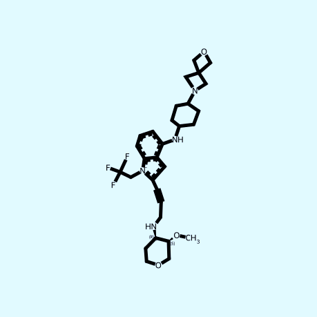 CO[C@@H]1COCC[C@H]1NCC#Cc1cc2c(NC3CCC(N4CC5(COC5)C4)CC3)cccc2n1CC(F)(F)F